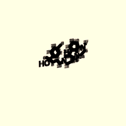 Cc1ccc(C(C)(O)CCCN2CC[C@H]3[C@@H](C2)c2cccc4c2N3CCN4C)cc1